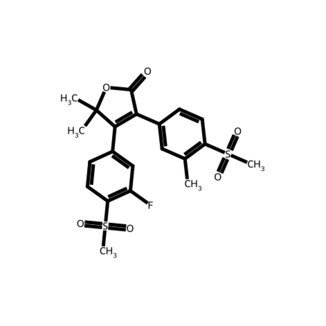 Cc1cc(C2=C(c3ccc(S(C)(=O)=O)c(F)c3)C(C)(C)OC2=O)ccc1S(C)(=O)=O